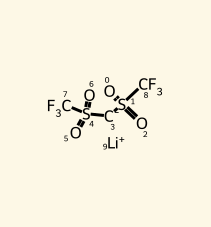 O=S(=O)([CH-]S(=O)(=O)C(F)(F)F)C(F)(F)F.[Li+]